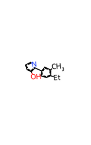 CCc1ccc(-c2ncccc2O)cc1C